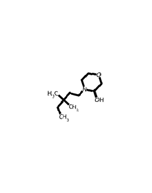 CCC(C)(C)CCN1CCOCC1O